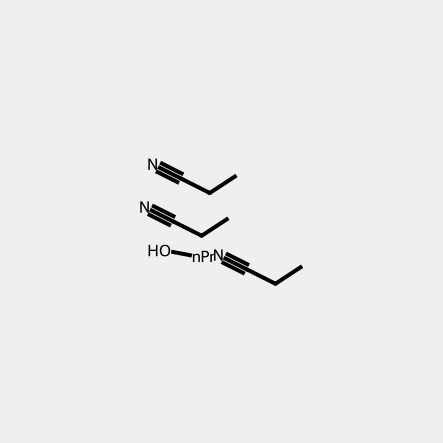 CCC#N.CCC#N.CCC#N.CCCO